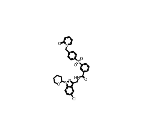 O=C(NCc1nn(C2CCCCO2)c2ccc(Cl)cc12)c1cccc(S(=O)(=O)c2ccc(Cn3ccccc3=O)cc2)c1